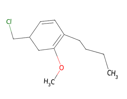 CCCCC1=C(OC)CC(CCl)C=C1